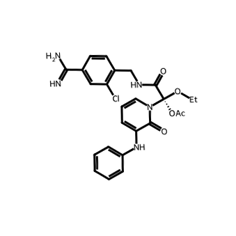 CCO[C@](OC(C)=O)(C(=O)NCc1ccc(C(=N)N)cc1Cl)n1cccc(Nc2ccccc2)c1=O